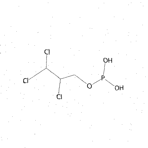 OP(O)OCC(Cl)C(Cl)Cl